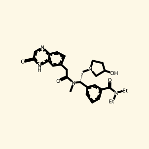 CCN(CC)C(=O)c1cccc([C@@H](CN2CCC(O)C2)N(C)C(=O)Cc2ccc3ncc(=O)[nH]c3c2)c1